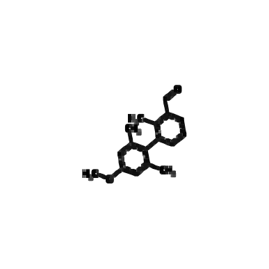 COc1cc(C)c(-c2cccc(C=O)c2C)c(C)c1